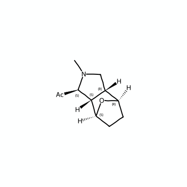 CC(=O)[C@@H]1[C@@H]2[C@H](CN1C)[C@H]1CC[C@@H]2O1